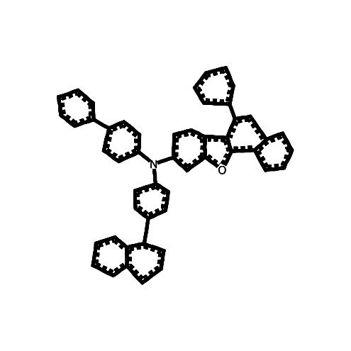 c1ccc(-c2ccc(N(c3ccc(-c4cccc5ccccc45)cc3)c3ccc4c(c3)oc3c5ccccc5cc(-c5ccccc5)c43)cc2)cc1